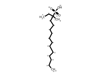 [CH2]CC(C)(CCCCCCCCCCCC)S(=O)(=O)O